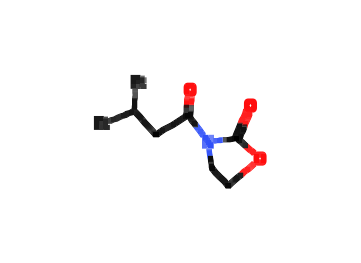 CCC(CC)CC(=O)N1CCOC1=O